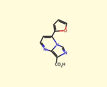 O=C(O)c1ncn2c(-c3ccco3)ccnc12